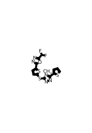 Cn1c(Sc2ccc(-c3nnc(C(F)F)o3)s2)nnc1-c1cccs1